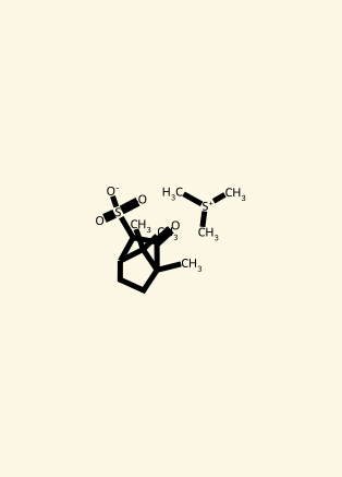 CC12CCC(C(S(=O)(=O)[O-])C1=O)C2(C)C.C[S+](C)C